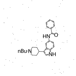 CCCCN1CCC(c2c[nH]c3ccc(NC(=O)c4ccccc4)cc23)CC1